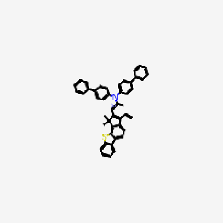 C=CC1=C(/C=C(\C)N(c2ccc(-c3ccccc3)cc2)c2ccc(-c3ccccc3)cc2)C(C)(C)c2c1ccc1c2sc2ccccc21